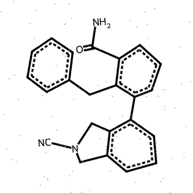 N#CN1Cc2cccc(-c3cccc(C(N)=O)c3Cc3ccccc3)c2C1